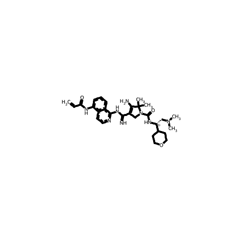 C=CC(=O)Nc1cccc2c(NC(=N)C3=C(N)C(C)(C)N(C(=O)N[C@H](CN(C)C)C4CCOCC4)C3)nccc12